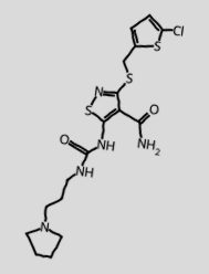 NC(=O)c1c(SCc2ccc(Cl)s2)nsc1NC(=O)NCCCN1CCCC1